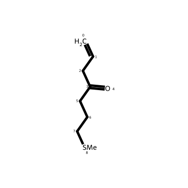 C=CCC(=O)CCCSC